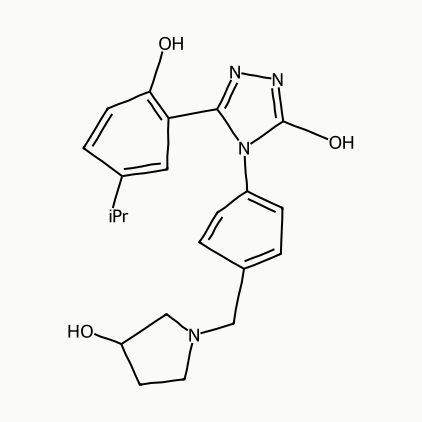 CC(C)c1ccc(O)c(-c2nnc(O)n2-c2ccc(CN3CCC(O)C3)cc2)c1